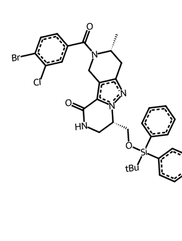 C[C@@H]1Cc2nn3c(c2CN1C(=O)c1ccc(Br)c(Cl)c1)C(=O)NC[C@H]3CO[Si](c1ccccc1)(c1ccccc1)C(C)(C)C